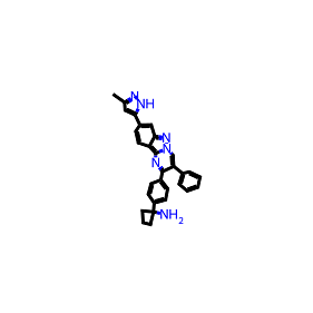 Cc1cc(-c2ccc3c(c2)nn2cc(-c4ccccc4)c(-c4ccc(C5(N)CCC5)cc4)nc32)[nH]n1